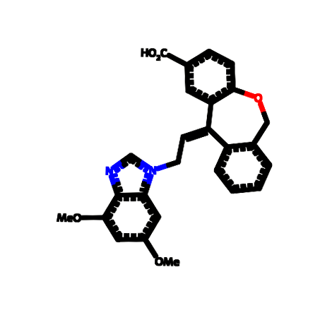 COc1cc(OC)c2ncn(C/C=C3\c4ccccc4COc4ccc(C(=O)O)cc43)c2c1